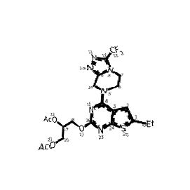 CCc1cc2c(N3CCn4c(nnc4C(F)(F)F)C3)nc(OCC(COC(C)=O)OC(C)=O)nc2s1